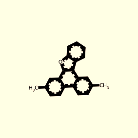 Cc1ccc2c3ccc(C)cc3c3c4ccccc4oc3c2c1